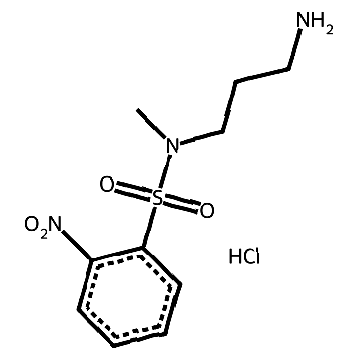 CN(CCCN)S(=O)(=O)c1ccccc1[N+](=O)[O-].Cl